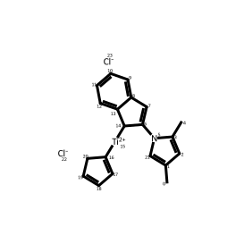 Cc1cc(C)n(C2=Cc3ccccc3[CH]2[Ti+2][C]2=CC=CC2)c1.[Cl-].[Cl-]